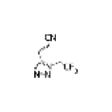 N#C/C=C/c1cnnn1CC(F)(F)F